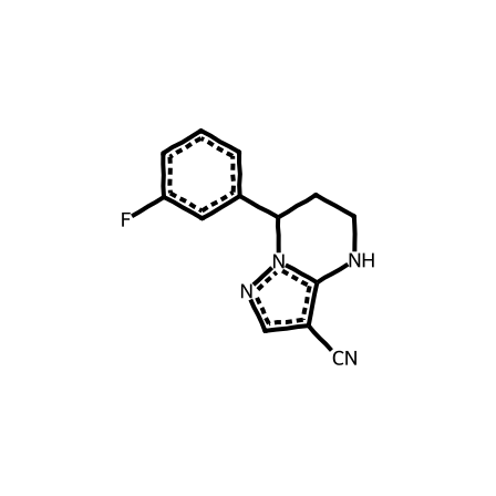 N#Cc1cnn2c1NCCC2c1cccc(F)c1